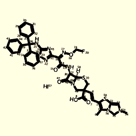 CC1=C(C=CC2(C(=O)O)CS[C@@H]3[C@H](NC(=O)C(=NOCF)c4nsc(NC(c5ccccc5)(c5ccccc5)c5ccccc5)n4)C(=O)N3C2)SC2=CN(C)CN21.I